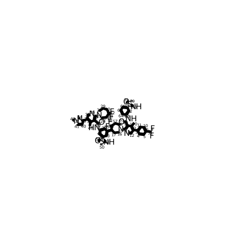 Cc1c(-c2ccc(C(F)F)cc2)cnc(N2CCC(c3cc(NC(=O)c4c(N5CCCC(F)(F)CC5)ncc(-c5ccn(C)n5)c4C)cc(S(C)(=N)=O)c3)C(F)(F)CC2)c1C(=O)Nc1cccc(S(C)(=N)=O)c1